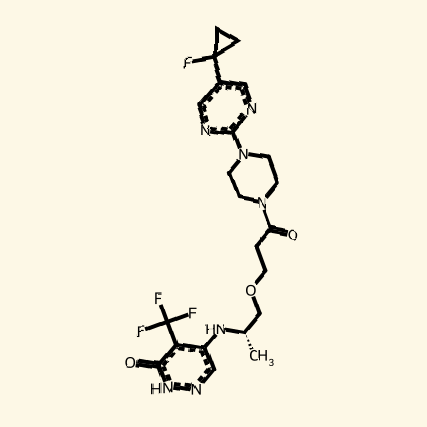 C[C@@H](COCCC(=O)N1CCN(c2ncc(C3(F)CC3)cn2)CC1)Nc1cn[nH]c(=O)c1C(F)(F)F